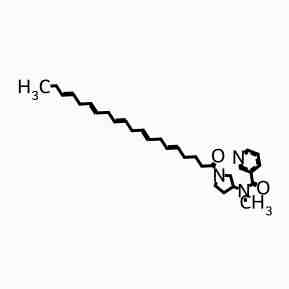 CCC=CCC=CCC=CCC=CCC=CCCCC(=O)N1CCC(N(C)C(=O)c2cccnc2)C1